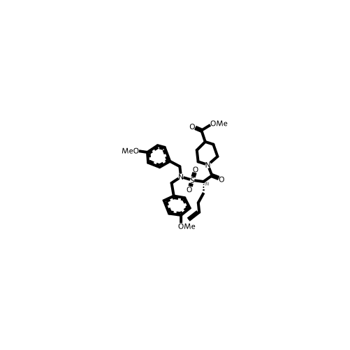 C=CCC[C@@H](C(=O)N1CCC(C(=O)OC)CC1)S(=O)(=O)N(Cc1ccc(OC)cc1)Cc1ccc(OC)cc1